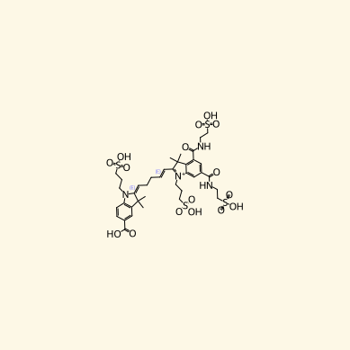 CC1(C)C(/C=C/CC/C=C2/N(CCCS(=O)(=O)O)c3ccc(C(=O)O)cc3C2(C)C)=[N+](CCCS(=O)(=O)O)c2cc(C(=O)NCCS(=O)(=O)O)cc(C(=O)NCCS(=O)(=O)O)c21